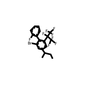 CCC(C)c1[c]c(Br)c(-c2ccccc2F)c(C(F)(C(F)(F)F)C(F)(F)F)c1